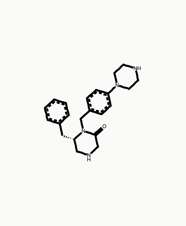 O=C1CNC[C@H](Cc2ccccc2)N1Cc1ccc(N2CCNCC2)cc1